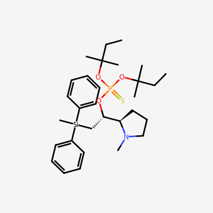 CCC(C)(C)OP(=S)(O[C@@H](C[Si](C)(c1ccccc1)c1ccccc1)[C@H]1CCCN1C)OC(C)(C)CC